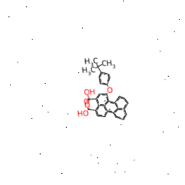 CC(C)(C)c1ccc(Oc2cc(C(=O)O)c3c(C(=O)O)ccc4c5cccc6cccc(c2c34)c65)cc1